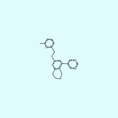 Cc1cccc(COc2cc(-c3cncnc3)c3c(n2)CCCC3)n1